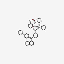 c1ccc(-c2ccc(N(c3cccc(-c4ccc5c(c4)[SiH](c4ccccc4)c4ccccc4C54c5ccccc5Oc5ccccc54)c3)c3cccc4ccccc34)cc2)cc1